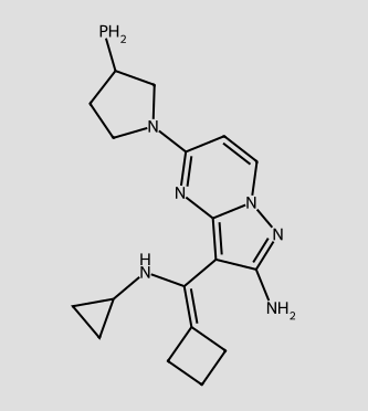 Nc1nn2ccc(N3CCC(P)C3)nc2c1C(NC1CC1)=C1CCC1